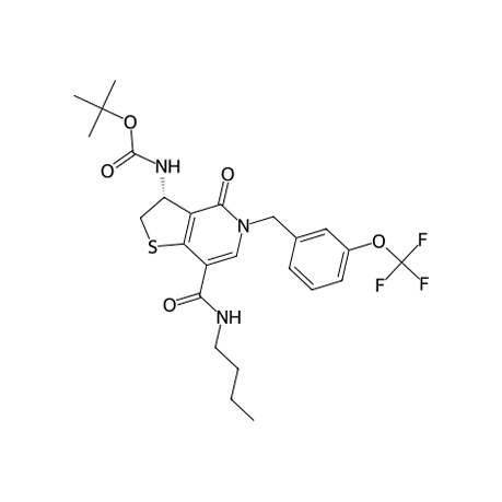 CCCCNC(=O)c1cn(Cc2cccc(OC(F)(F)F)c2)c(=O)c2c1SC[C@@H]2NC(=O)OC(C)(C)C